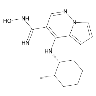 C[C@H]1CCCC[C@H]1Nc1c(C(=N)NO)cnn2cccc12